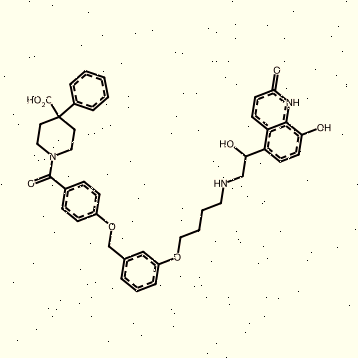 O=C(c1ccc(OCc2cccc(OCCCCNCC(O)c3ccc(O)c4[nH]c(=O)ccc34)c2)cc1)N1CCC(C(=O)O)(c2ccccc2)CC1